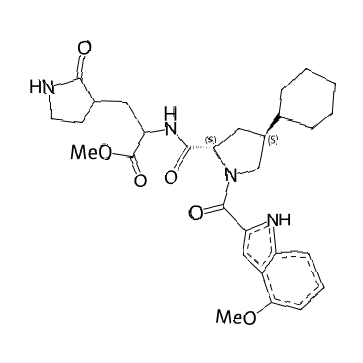 COC(=O)C(CC1CCNC1=O)NC(=O)[C@@H]1C[C@@H](C2CCCCC2)CN1C(=O)c1cc2c(OC)cccc2[nH]1